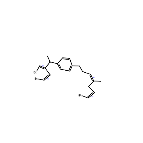 CC/C=C\C(=C/CC)N(C)c1ccc(CC/C=C(/C)C/C=C\C(C)C)cc1